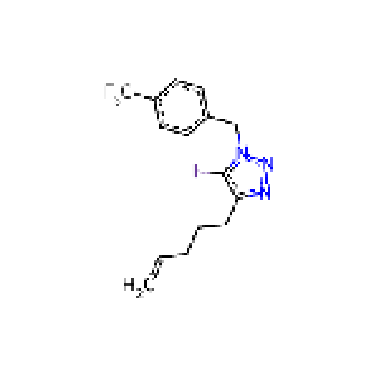 C=CCCCc1nnn(Cc2ccc(C(F)(F)F)cc2)c1I